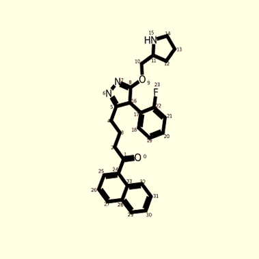 O=C(CCCC1=NN=C(OCC2CCCN2)C1c1ccccc1F)c1cccc2ccccc12